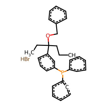 Br.CCCC(CC)(OCc1ccccc1)c1cccc(P(c2ccccc2)c2ccccc2)c1